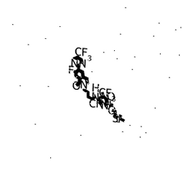 C[Si](C)(C)CCOCn1ncc(NC(C#N)CCCn2ccc3cc(-c4ncc(C(F)(F)F)cn4)c(F)cc3c2=O)c(C(F)(F)F)c1=O